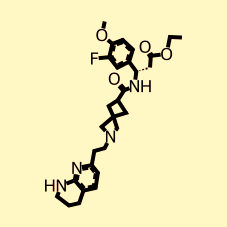 CCOC(=O)C[C@H](NC(=O)C1CC2(C1)CN(CCc1ccc3c(n1)NCCC3)C2)c1ccc(OC)c(F)c1